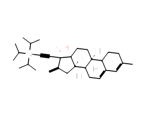 C=C1C[C@H]2[C@@H]3CC=C4C=C(C)CC[C@@H]4[C@H]3CC[C@]2(C)[C@]1(O)C#C[Si](C(C)C)(C(C)C)C(C)C